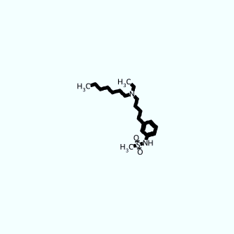 CCCCCCCN(CC)CCCCc1cccc(NS(C)(=O)=O)c1